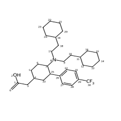 C=C(O)CC1CCC(N(CCC2CCCCC2)CCC2CCCCC2)C(c2ccc(C(F)(F)F)cc2)C1